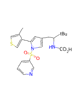 Cc1cscc1-c1cc(CC(NC(=O)O)C(C)(C)C)cn1S(=O)(=O)c1cccnc1